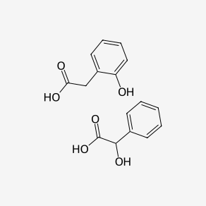 O=C(O)C(O)c1ccccc1.O=C(O)Cc1ccccc1O